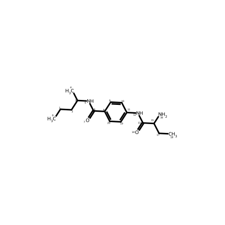 CCCC(C)NC(=O)c1ccc(NC(=O)C(N)CC)cc1